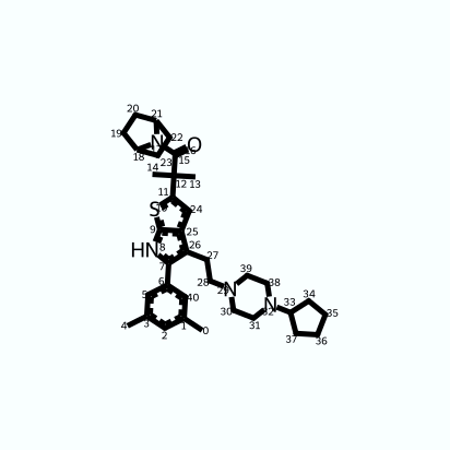 Cc1cc(C)cc(-c2[nH]c3sc(C(C)(C)C(=O)N4C5CCC4CC5)cc3c2CCN2CCN(C3CCCC3)CC2)c1